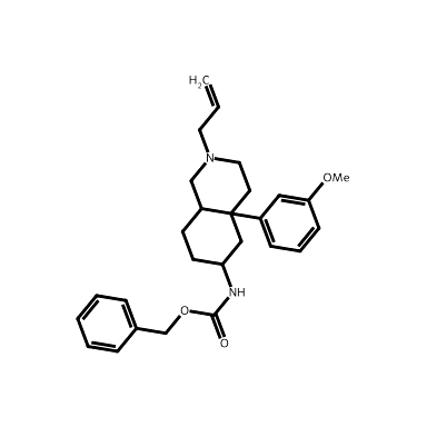 C=CCN1CCC2(c3cccc(OC)c3)CC(NC(=O)OCc3ccccc3)CCC2C1